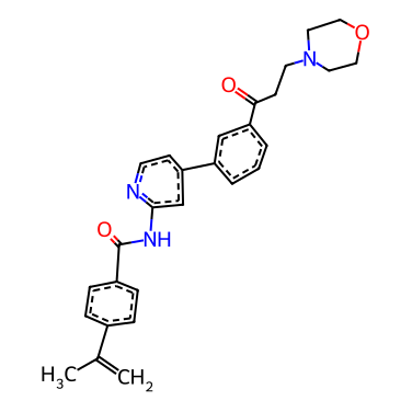 C=C(C)c1ccc(C(=O)Nc2cc(-c3cccc(C(=O)CCN4CCOCC4)c3)ccn2)cc1